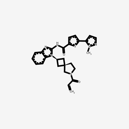 C=CC(=O)N1CC[C@]2(C1)C[C@H](n1c(NC(=O)c3ccc(-c4ccnn4C)s3)nc3ccccc31)C2